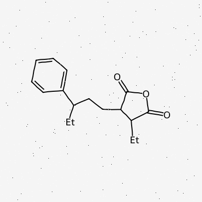 CCC(CCC1C(=O)OC(=O)C1CC)c1ccccc1